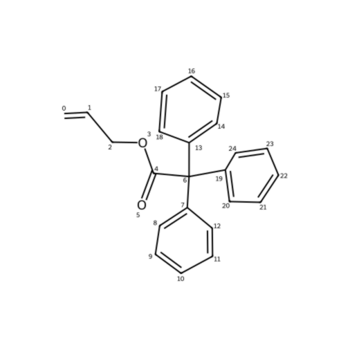 C=CCOC(=O)C(c1ccccc1)(c1ccccc1)c1ccccc1